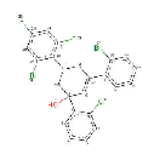 OC1(c2ccccc2Cl)C=C(c2ccccc2Br)CC(c2c(F)cc(F)cc2Br)C1